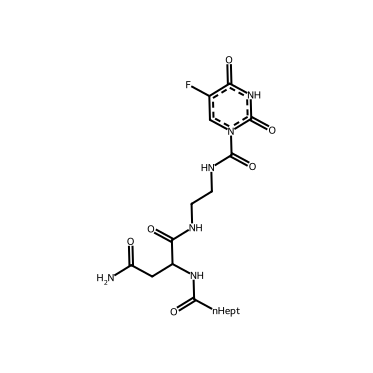 CCCCCCCC(=O)NC(CC(N)=O)C(=O)NCCNC(=O)n1cc(F)c(=O)[nH]c1=O